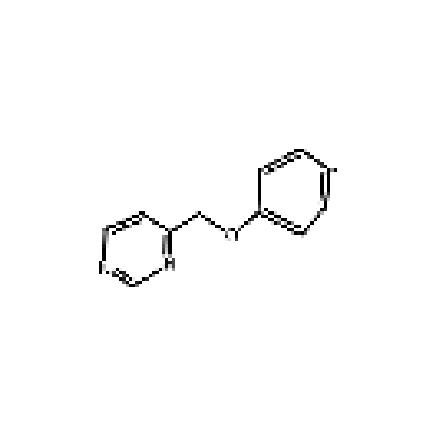 [c]1ccc(OCc2ccncn2)cc1